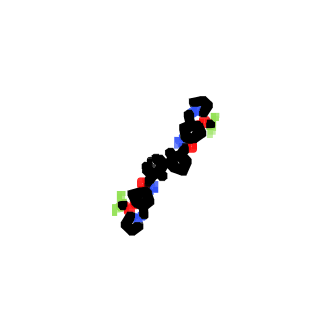 Cc1c(-c2nc3cc(CN4CCCC4)c(OC(F)F)cc3o2)cccc1-c1cccc(-c2nc3cc(CN4CCCC4)c(OC(F)F)cc3o2)c1C